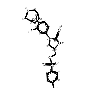 Cc1ccc(S(=O)(=O)OC[C@H]2CN(c3ccc(N4C5CCC4CSC5)c(F)c3)C(=O)O2)cc1